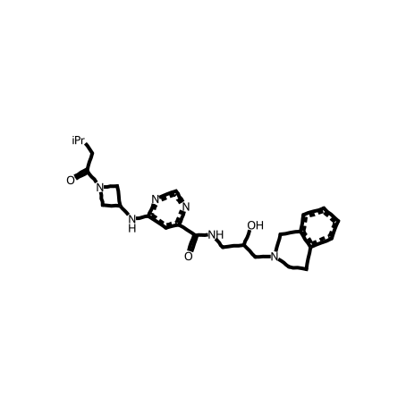 CC(C)CC(=O)N1CC(Nc2cc(C(=O)NCC(O)CN3CCc4ccccc4C3)ncn2)C1